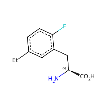 CCc1ccc(F)c(C[C@H](N)C(=O)O)c1